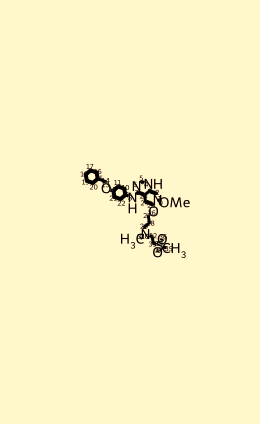 CON1C=C2NC=NC(Nc3ccc(OCc4ccccc4)cc3)=C2C=C1OCCCN(C)CCS(C)(=O)=O